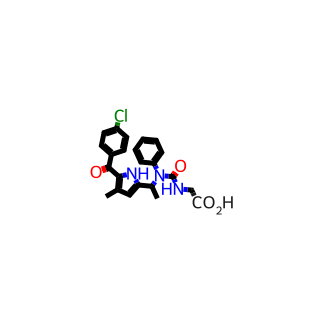 Cc1cc(C(C)N(C(=O)NCC(=O)O)c2ccccc2)[nH]c1C(=O)c1ccc(Cl)cc1